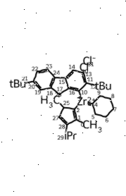 CC1=[C]([Zr+2](=[C]2CCCCC2)[c]2c(C(C)(C)C)ccc3c2Cc2cc(C(C)(C)C)ccc2-3)C(C)C=C1C(C)C.[Cl-].[Cl-]